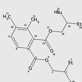 CCCCC(CC)COC(=O)c1ccc(C)c(C)c1C(=O)OCC(CC)CCCC